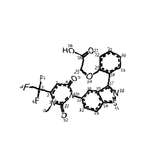 Cn1c(C(F)(F)F)cc(=O)n(-c2ccc3snc(-c4ccccc4OCC(=O)O)c3c2)c1=O